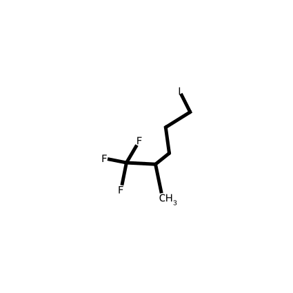 CC(CCCI)C(F)(F)F